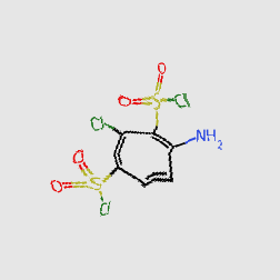 Nc1ccc(S(=O)(=O)Cl)c(Cl)c1S(=O)(=O)Cl